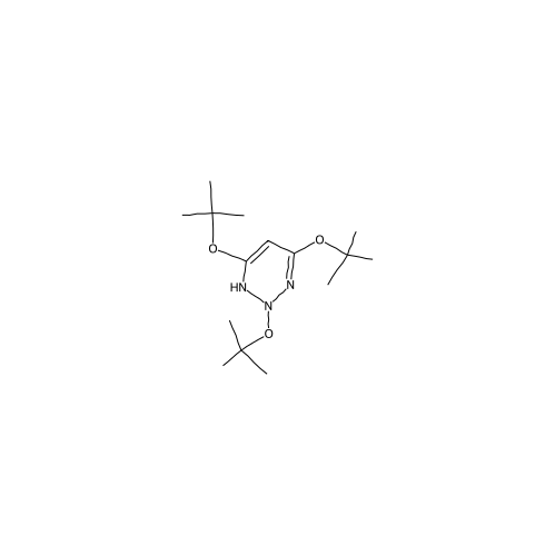 CC(C)(C)OC1=CC(OC(C)(C)C)=NN(OC(C)(C)C)N1